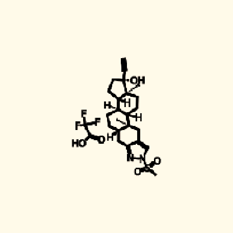 C#C[C@]1(O)CC[C@H]2[C@@H]3CC[C@H]4Cc5nn(S(C)(=O)=O)cc5C[C@]4(C)[C@H]3CC[C@@]21C.O=C(O)C(F)(F)F